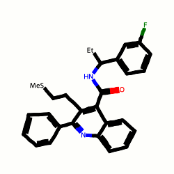 CCC(NC(=O)c1c(CCSC)c(-c2ccccc2)nc2ccccc12)c1cccc(F)c1